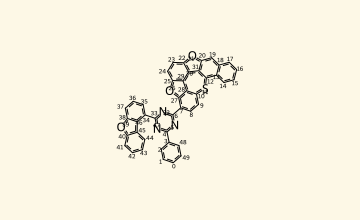 c1ccc(-c2nc(-c3ccc4sc5c6ccccc6cc6oc7ccc8oc3c4c8c7c65)nc(-c3cccc4oc5ccccc5c34)n2)cc1